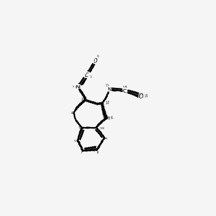 O=C=NC1Cc2ccccc2CC1N=C=O